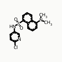 CN(C)c1cccc2c(S(=O)(=O)Nc3ccc(Cl)nc3)cccc12